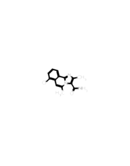 Cc1nc2c3cccc(Cl)c3cc(C)n2c1C(N)=O